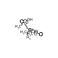 CCc1cccc(CC(=O)O)c1OCCCc1cn(Cc2nc(-c3ccccc3)oc2C)nc1C(C)C